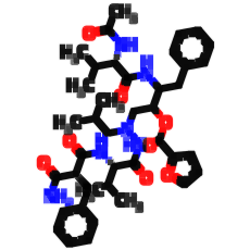 CC(=O)N[C@H](C(=O)NC(Cc1ccccc1)C(CN(CC(C)C)NC(=O)[C@@H](NC(=O)[C@@H](Cc1ccccc1)C(N)=O)C(C)C)OC(=O)c1ccco1)C(C)C